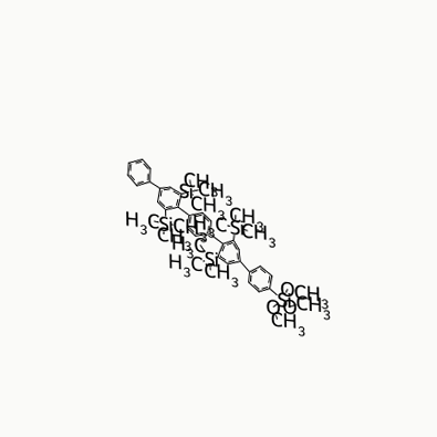 CO[Si](OC)(OC)c1ccc(-c2cc([Si](C)(C)C)c(-c3ccc(-c4c([Si](C)(C)C)cc(-c5ccccc5)cc4[Si](C)(C)C)cc3)c([Si](C)(C)C)c2)cc1